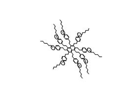 CCCCCCOc1ccc(CCc2c(CCc3ccc(OCCCCCC)cc3)c(CCc3ccc(OCCCCCC)cc3)c3c(CCc4ccc(OCCCCCC)cc4)c(CCc4ccc(OCCCCCC)cc4)c(CCc4ccc(OCCCCCC)cc4)c(CCc4ccc(OCCCCCC)cc4)c3c2CCc2ccc(OCCCCCC)cc2)cc1